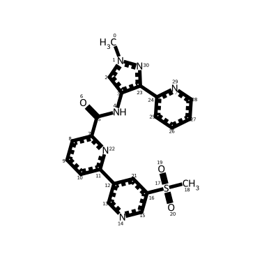 Cn1cc(NC(=O)c2cccc(-c3cncc(S(C)(=O)=O)c3)n2)c(-c2ccccn2)n1